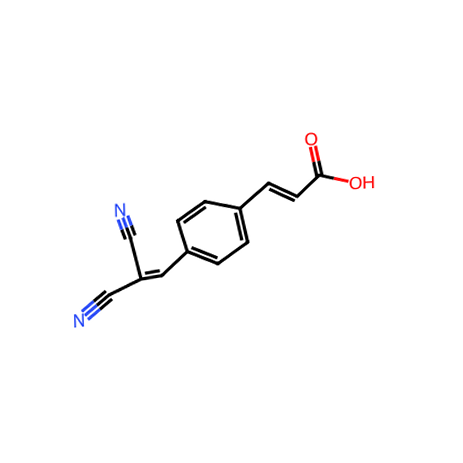 N#CC(C#N)=Cc1ccc(C=CC(=O)O)cc1